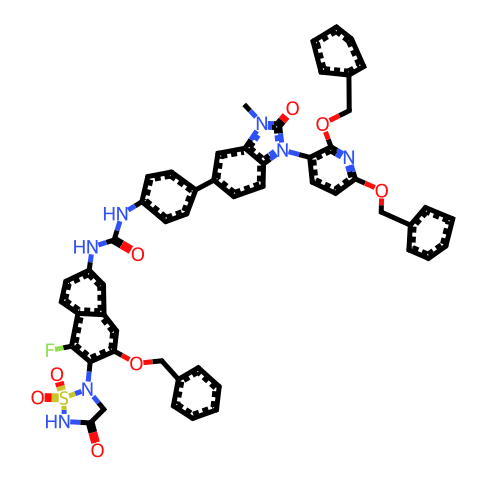 Cn1c(=O)n(-c2ccc(OCc3ccccc3)nc2OCc2ccccc2)c2ccc(-c3ccc(NC(=O)Nc4ccc5c(F)c(N6CC(=O)NS6(=O)=O)c(OCc6ccccc6)cc5c4)cc3)cc21